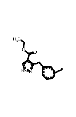 CCOC(=O)c1c[nH]nc1Cc1cccc(F)c1